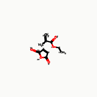 C=C(C)C(=O)OCC.O=C1C=CC(=O)O1